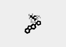 CCC(C)(C(=O)OC1(c2ccc3c(c2)Cc2ccccc2-3)CCCC1)C(F)(F)F